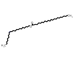 CCCCCCCC/C=C\CCCCCCCCCCCCOC(=O)CCCCCCCCCCCCCCCCCCCCCCC